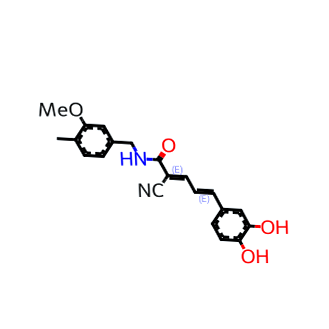 COc1cc(CNC(=O)/C(C#N)=C/C=C/c2ccc(O)c(O)c2)ccc1C